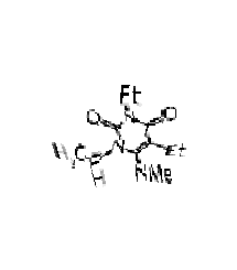 CCc1c(NC)n(PC)c(=O)n(CC)c1=O